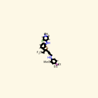 CCP(CC)C1C=C(OC)C(NCC#Cc2sc3c(NC4CCN(C)CC4F)cccc3c2CC(F)(F)F)CC1